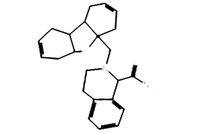 NC(=O)C1c2cc[c]cc2CCN1CC12CC=CCC1C1CC=CCC1O2